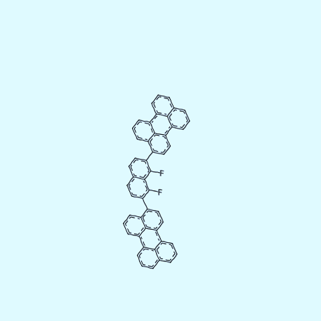 Fc1c(-c2ccc3c4cccc5cccc(c6cccc2c63)c54)ccc2ccc(-c3ccc4c5cccc6cccc(c7cccc3c74)c65)c(F)c12